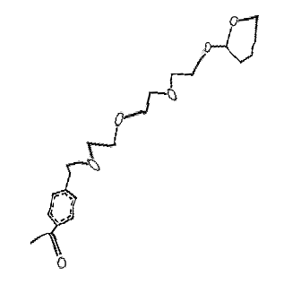 CC(=O)c1ccc(COCCOCCOCCOC2CCCCO2)cc1